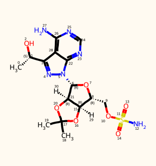 C[C@H](O)c1nn([C@@H]2O[C@H](COS(N)(=O)=O)[C@H]3OC(C)(C)O[C@H]32)c2ncnc(N)c12